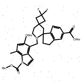 COC(=O)c1ccc2c(c1)CCC21CC2(CCN1Cc1c(OC)cc(C)c3c1ccn3C(=O)OC(C)(C)C)CC(F)(F)C2